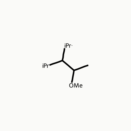 COC(C)C([C](C)C)C(C)C